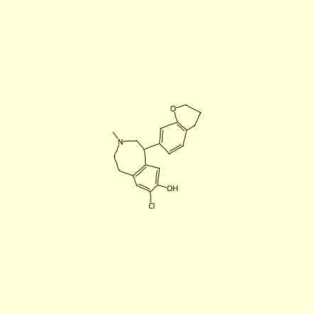 CN1CCc2cc(Cl)c(O)cc2C(c2ccc3c(c2)OCCC3)C1